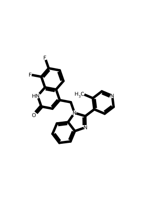 Cc1cnccc1-c1nc2ccccc2n1Cc1cc(=O)[nH]c2c(F)c(F)ccc12